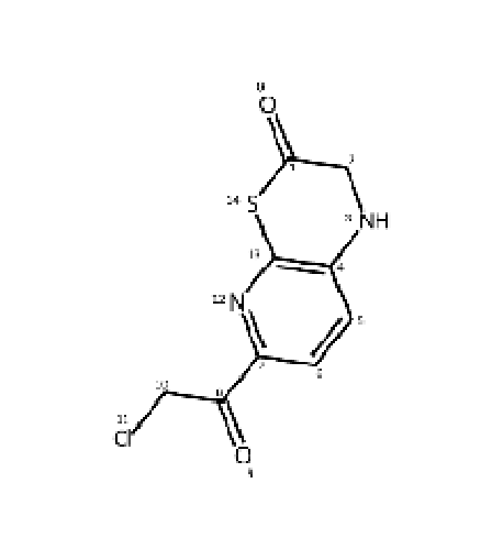 O=C1CNc2ccc(C(=O)CCl)nc2S1